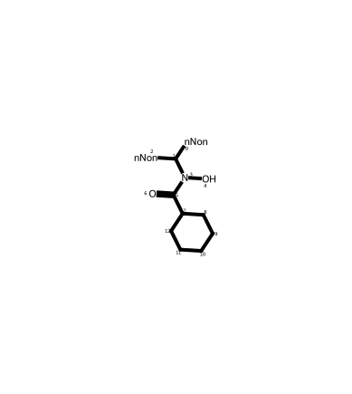 CCCCCCCCCC(CCCCCCCCC)N(O)C(=O)C1CCCCC1